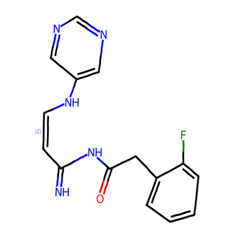 N=C(/C=C\Nc1cncnc1)NC(=O)Cc1ccccc1F